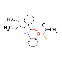 CCC(CC)CC1(C(=O)Nc2ccccc2OC(=S)C(C)C)CCCCC1